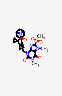 Cn1c(=O)c2c(nc(S(C)(=O)=O)n2C)n(CC#Cc2cc3cc(c2)N3C(=O)C2(C3CC3)CC2)c1=O